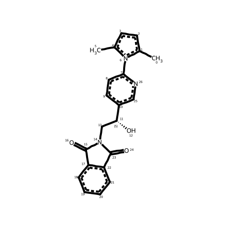 Cc1ccc(C)n1-c1ccc([C@H](O)CN2C(=O)c3ccccc3C2=O)cn1